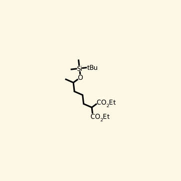 CCOC(=O)C(CCCC(C)O[Si](C)(C)C(C)(C)C)C(=O)OCC